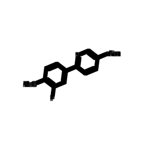 CCCCCCCCCc1ccc(-c2ccc(OC)c(F)c2)nc1